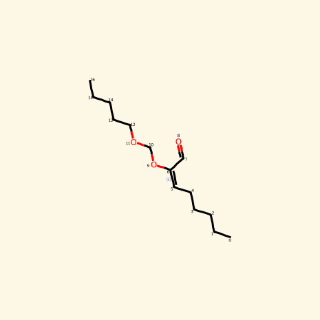 CCCCC/C=C(\C=O)OCOCCCCC